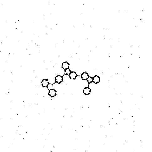 c1ccc(-n2c3ccccc3c3ccc(-c4ccc5c(c4)c4ccccc4n5-c4ccc(C5c6ccccc6-c6ccccc65)cc4)cc32)cc1